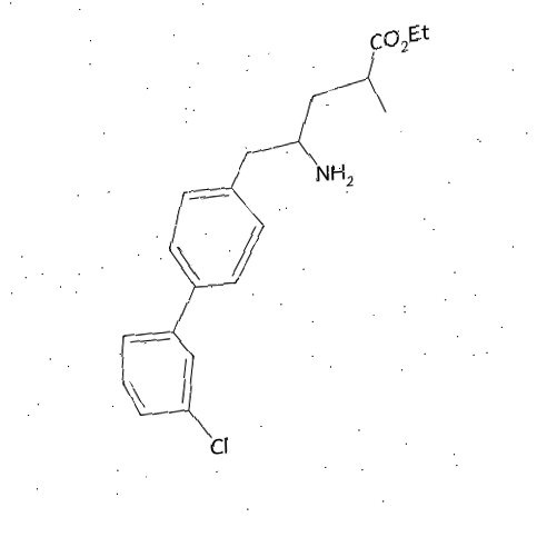 CCOC(=O)C(C)CC(N)Cc1ccc(-c2cccc(Cl)c2)cc1